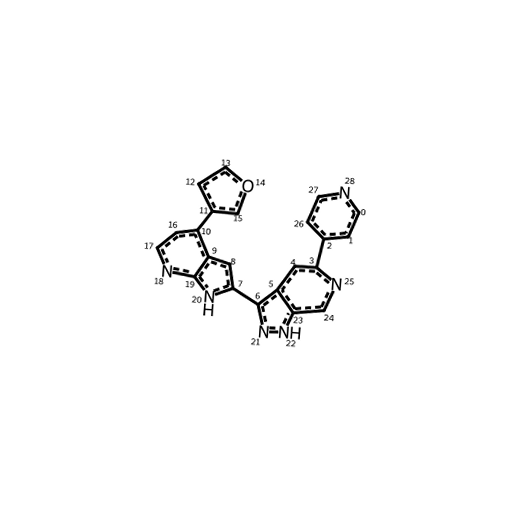 c1cc(-c2cc3c(-c4cc5c(-c6ccoc6)ccnc5[nH]4)n[nH]c3cn2)ccn1